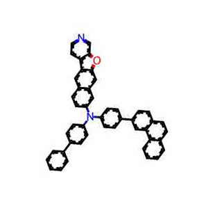 c1ccc(-c2ccc(N(c3ccc(-c4ccc5ccc6ccccc6c5c4)cc3)c3ccc4cc5c(cc4c3)oc3cnccc35)cc2)cc1